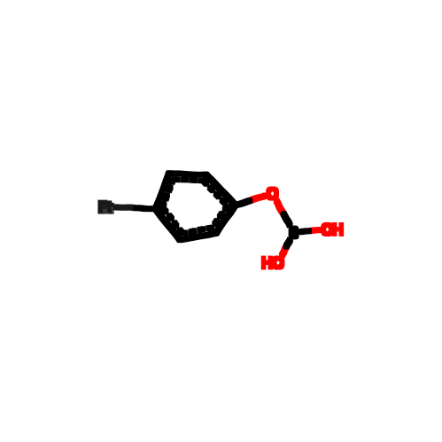 CCc1ccc(OB(O)O)cc1